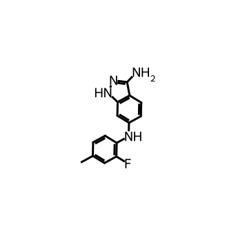 Cc1ccc(Nc2ccc3c(N)n[nH]c3c2)c(F)c1